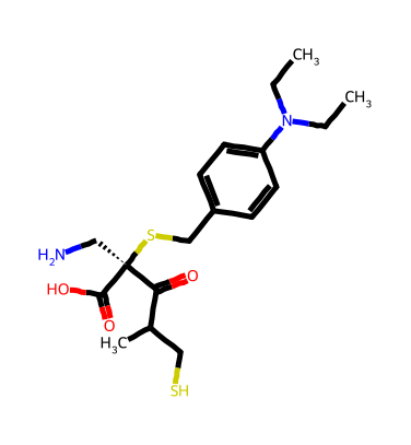 CCN(CC)c1ccc(CS[C@](CN)(C(=O)O)C(=O)C(C)CS)cc1